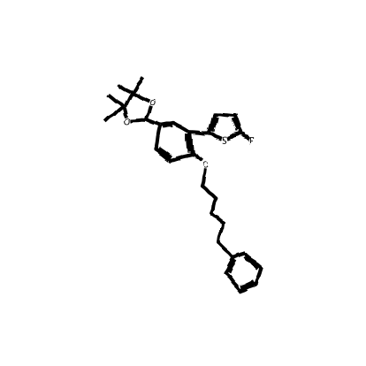 CC1(C)OC(c2ccc(OCCCCCc3ccccc3)c(-c3ccc(F)s3)c2)OC1(C)C